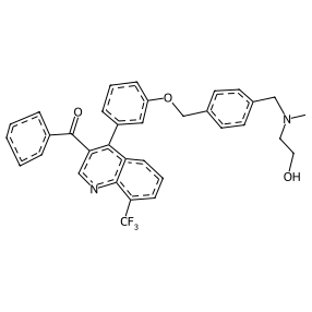 CN(CCO)Cc1ccc(COc2cccc(-c3c(C(=O)c4ccccc4)cnc4c(C(F)(F)F)cccc34)c2)cc1